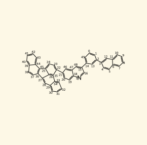 c1cc(-c2ccc3ccccc3c2)cc(-c2cnc3ccc(-c4ccc5c6c(cc7ccccc7c46)-c4ccc6ccccc6c4-5)cc3c2)c1